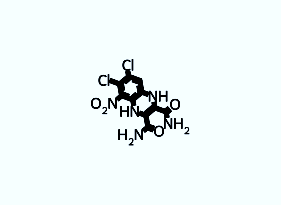 NC(=O)C1=C(C(N)=O)Nc2c(cc(Cl)c(Cl)c2[N+](=O)[O-])N1